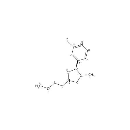 COCCN1C[C@@H](C)[C@H](c2ccnc(F)c2)O1